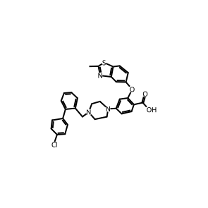 Cc1nc2cc(Oc3cc(N4CCN(Cc5ccccc5-c5ccc(Cl)cc5)CC4)ccc3C(=O)O)ccc2s1